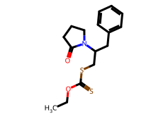 CCOC(=S)SCC(Cc1ccccc1)N1CCCC1=O